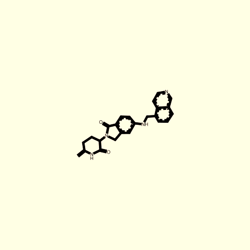 C=C1CCC(N2Cc3cc(NCc4cccc5cnccc45)ccc3C2=O)C(=O)N1